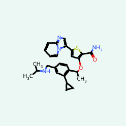 CC(C)NCc1ccc(C(C)Oc2cc(-c3cnc4ccccn34)sc2C(N)=O)c(C2CC2)c1